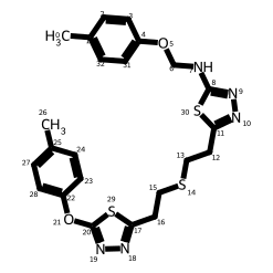 Cc1ccc(OCNc2nnc(CCSCCc3nnc(Oc4ccc(C)cc4)s3)s2)cc1